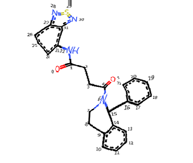 O=C(CCC(=O)N1CCc2ccccc2C1c1ccccc1)Nc1cccc2nsnc12